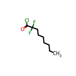 CCCCCCCC(F)(F)C(=O)Cl